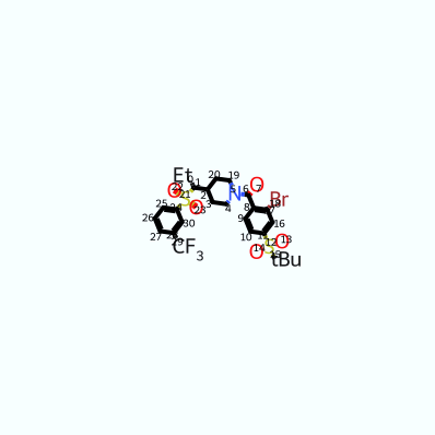 CCC(C1CCN(C(=O)c2ccc(S(=O)(=O)C(C)(C)C)cc2Br)CC1)S(=O)(=O)c1cccc(C(F)(F)F)c1